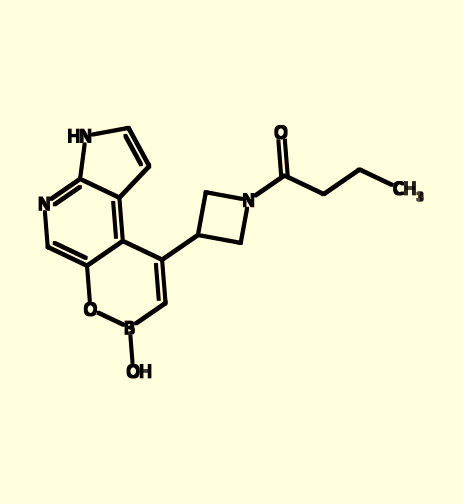 CCCC(=O)N1CC(C2=CB(O)Oc3cnc4[nH]ccc4c32)C1